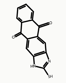 O=C1c2ccccc2C(=O)c2cc3[nH]c(S)nc3cc21